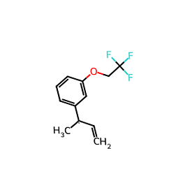 C=C[C](C)c1cccc(OCC(F)(F)F)c1